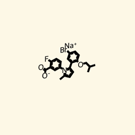 Cc1ccc(-c2cc(Br)ccc2OCC(C)C)n1-c1ccc(F)c(C(=O)[O-])c1.[Na+]